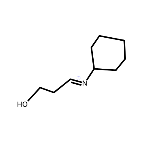 OCC/C=N/C1CCCCC1